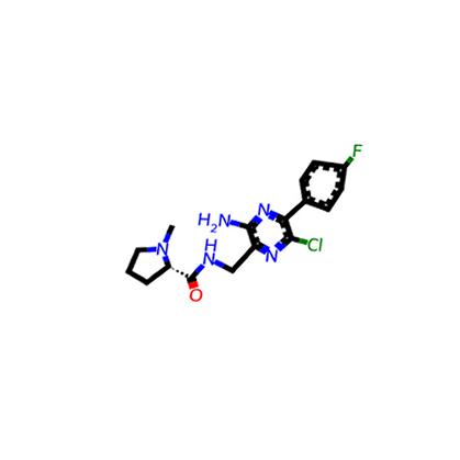 CN1CCC[C@H]1C(=O)NCc1nc(Cl)c(-c2ccc(F)cc2)nc1N